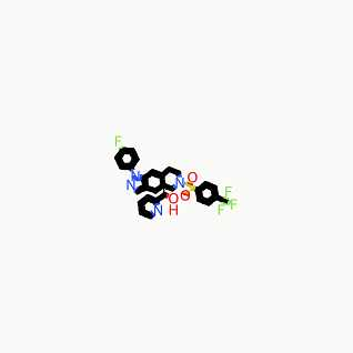 O=S(=O)(c1ccc(C(F)(F)F)cc1)N1CCC2=Cc3c(cnn3-c3ccc(F)cc3)C[C@]2(C(O)c2ccccn2)C1